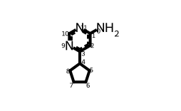 Nc1cc(C2CCCC2)ncn1